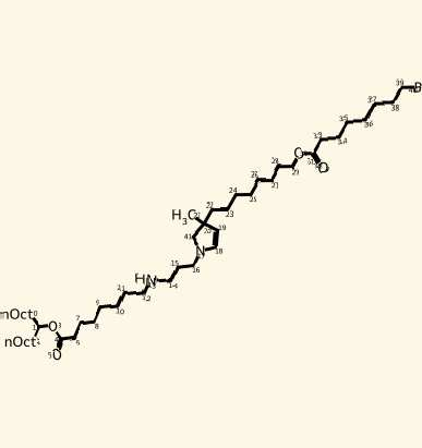 CCCCCCCCC(CCCCCCCC)OC(=O)CCCCCCCNCCCN1C=CC(C)(CCCCCCCCOC(=O)CCCCCCCBr)C1